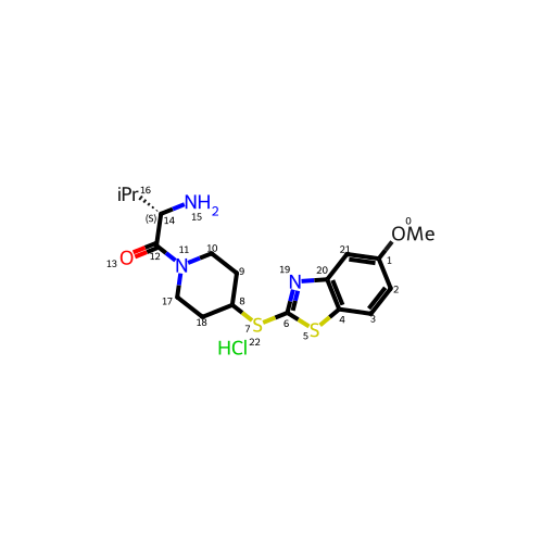 COc1ccc2sc(SC3CCN(C(=O)[C@@H](N)C(C)C)CC3)nc2c1.Cl